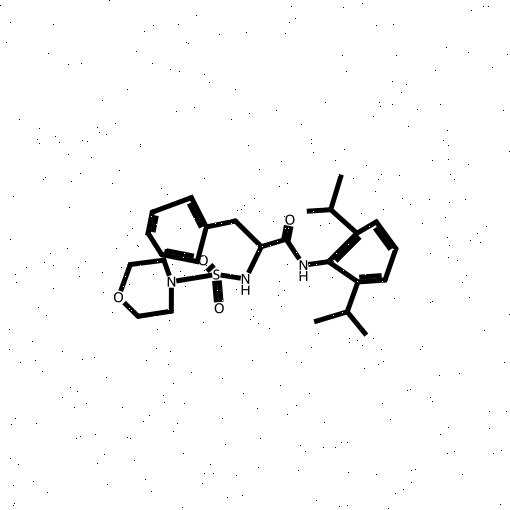 CC(C)c1cccc(C(C)C)c1NC(=O)C(Cc1ccccc1)NS(=O)(=O)N1CCOCC1